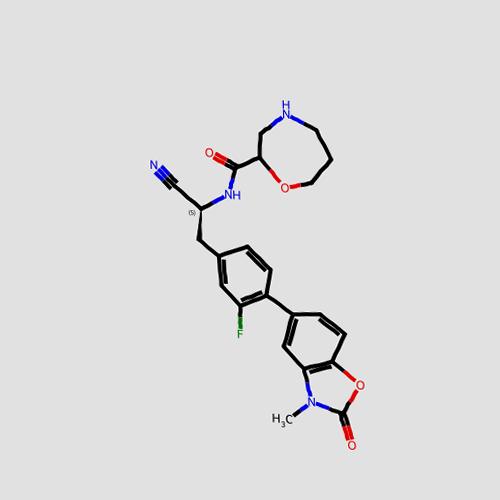 Cn1c(=O)oc2ccc(-c3ccc(C[C@@H](C#N)NC(=O)C4CNCCCO4)cc3F)cc21